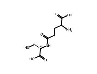 NC(CCC(=O)N[C@@H](CS)C(=O)O)C(=O)O